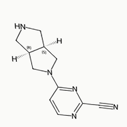 N#Cc1nccc(N2C[C@H]3CNC[C@H]3C2)n1